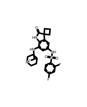 O=C1Nc2c(NC3CN4CCC3CC4)cc(NS(=O)(=O)c3ccc(F)cc3F)cc2C12CCC2